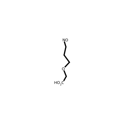 O=NCCCOCC(=O)O